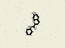 Cc1ccc2ccc(C(=O)Nc3ccccc3)nc2c1